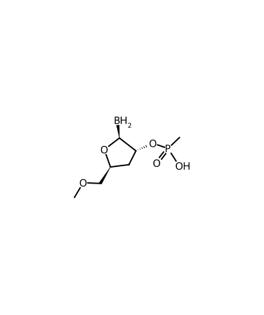 B[C@@H]1O[C@H](COC)C[C@H]1OP(C)(=O)O